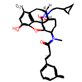 Cc1cccc(/C=C/C(=O)N(C)C2CC[C@@]3(O)[C@H]4Cc5c([N+](=O)[O-])cc(O)c6c5[C@@]3(CCN4CC3CC3)C2O6)c1